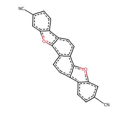 N#Cc1ccc2c(c1)oc1c2ccc2c1ccc1c3ccc(C#N)cc3oc12